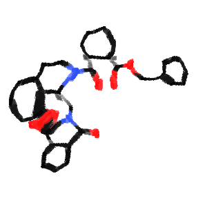 O=C(OCc1ccccc1)[C@H]1CCCC[C@H]1C(=O)N1CCc2cccc(O)c2[C@H]1CN1C(=O)c2ccccc2C1=O